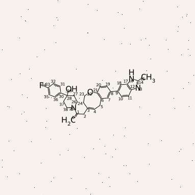 C=C(C/C1=C/Cc2cc(-c3ccc4nc(C)[nH]c4c3)ccc2OCC1)N1CCC(O)(c2ccc(F)cc2)CC1